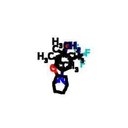 CC(C)(C)[Si](C)(C)OC1CC2CCC1N2c1ccc(N)c(C(F)(F)F)c1